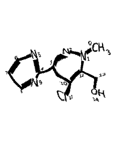 Cn1nc(-c2ncccn2)c(Cl)c1CO